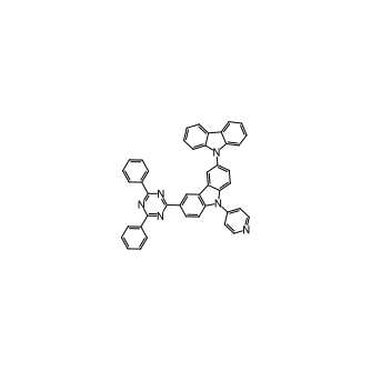 c1ccc(-c2nc(-c3ccccc3)nc(-c3ccc4c(c3)c3cc(-n5c6ccccc6c6ccccc65)ccc3n4-c3ccncc3)n2)cc1